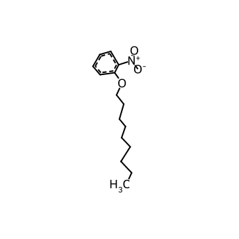 CCCCCCCCCOc1ccccc1[N+](=O)[O-]